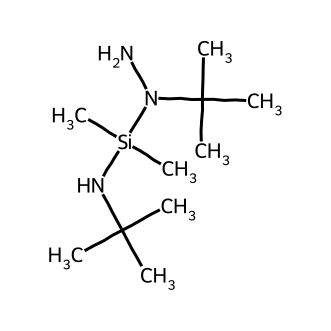 CC(C)(C)N[Si](C)(C)N(N)C(C)(C)C